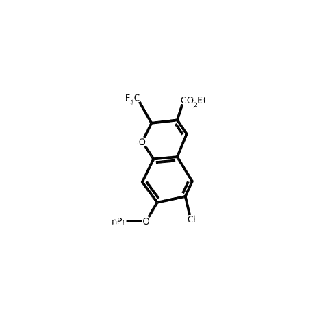 CCCOc1cc2c(cc1Cl)C=C(C(=O)OCC)C(C(F)(F)F)O2